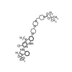 COc1cc(N2CCC(N3CCN(CC4CCN(C(=O)OC(C)(C)C)CC4)CC3)CC2)ccc1Nc1ncc(Cl)c(Nc2ccccc2N(C)S(C)(=O)=O)n1